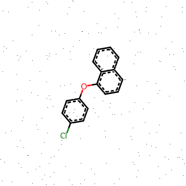 Clc1ccc(Oc2cc[c]c3ccccc23)cc1